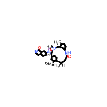 COc1cc2ccc1[C@@H](C)CCC(=O)Nc1ccc(C)c(c1)CN(C)C(=O)[C@@H]2Nc1ccc2cc[nH]c(=O)c2c1